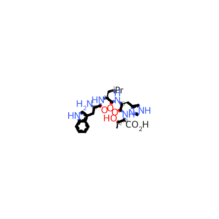 CC(C)C[C@H](NC(=O)[C@@H](N)Cc1c[nH]c2ccccc12)C(=O)N[C@@H](Cc1c[nH]cn1)C(=O)N[C@H](C(=O)O)[C@@H](C)O